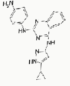 Nc1ccc(Nc2nc(Nc3cc(C4CC4)[nH]n3)c3ccccc3n2)cc1